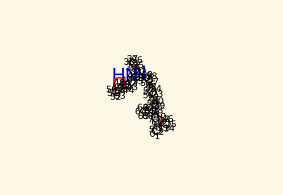 C1=CCC2C(=C1)C1C=C3C(=CC1C21CCCCC1)c1ccc(-c2ccc(-c4cccc(C5=NC(c6ccccc6)NC(c6ccc7c(c6)oc6ccccc67)=C5)c4)cc2)cc1C31CCCCC1